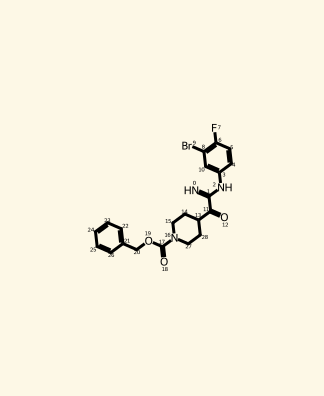 N=C(Nc1ccc(F)c(Br)c1)C(=O)C1CCN(C(=O)OCc2ccccc2)CC1